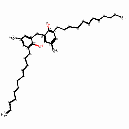 CCCCCCCCCCCCc1cc(C)cc(Cc2cc(C)cc(CCCCCCCCCCCC)c2O)c1O